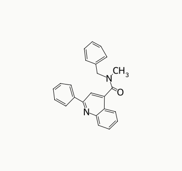 CN(Cc1ccccc1)C(=O)c1cc(-c2ccccc2)nc2ccccc12